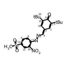 CC(C)(C)C1=CC(=CN=Nc2ccc(S(C)(=O)=O)cc2[N+](=O)[O-])C=C(C(C)(C)C)C1=O